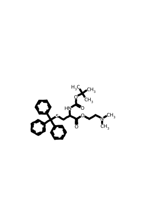 CN(C)CCOC(=O)C(CSC(c1ccccc1)(c1ccccc1)c1ccccc1)NC(=O)OC(C)(C)C